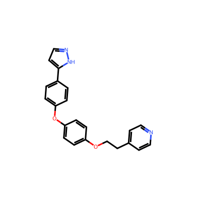 c1cc(CCOc2ccc(Oc3ccc(-c4ccn[nH]4)cc3)cc2)ccn1